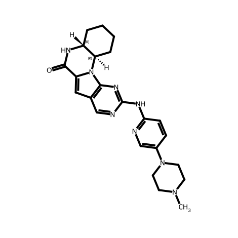 CN1CCN(c2ccc(Nc3ncc4cc5n(c4n3)[C@@H]3CCCC[C@H]3NC5=O)nc2)CC1